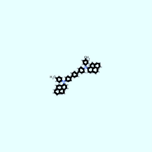 Cc1ccc(N(c2ccc(-c3ccc(-c4ccc(N(c5ccc(C)cc5)c5ccc6ccc7cccc8ccc5c6c78)cc4)cc3)cc2)c2ccc3ccc4cccc5ccc2c3c45)cc1